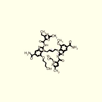 CCc1nc(C)oc1C(=O)Nc1nc2cc(C(N)=O)cc(OCCCO)c2n1C/C=C/Cn1/c(=N/C(=O)c2cc(C)nn2CC)sc2cc(C(N)=O)cc(OC)c21